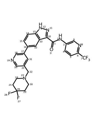 O=C(Nc1ccc(C(F)(F)F)nc1)c1n[nH]c2ccc(-c3cncc(CN4CCC(F)(F)CC4)c3)cc12